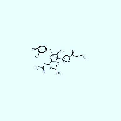 CCCC(=O)c1cn([C@@H]2C(C)[C@@H](Sc3ccc(Cl)c(Cl)c3)OC(COC(C)=O)[C@@H]2OC(C)=O)nn1